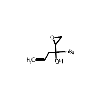 C=CCC(O)(CCCC)C1CO1